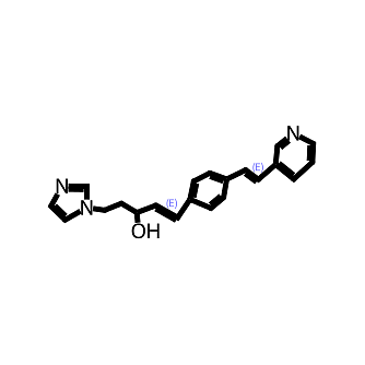 OC(/C=C/c1ccc(/C=C/c2cccnc2)cc1)CCn1ccnc1